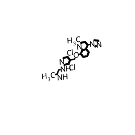 CC(=N)CNc1ncc(Cl)c(COc2cccc3c(-n4ccnc4)cc(C)nc23)c1Cl